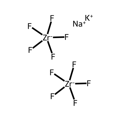 [F][Zr-]([F])([F])([F])[F].[F][Zr-]([F])([F])([F])[F].[K+].[Na+]